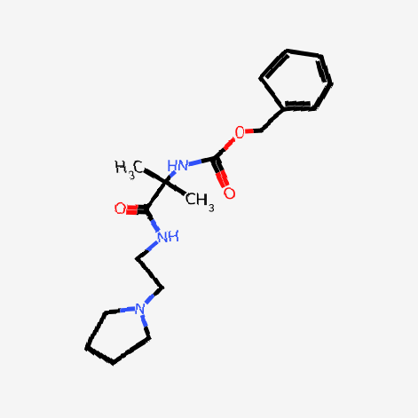 CC(C)(NC(=O)OCc1ccccc1)C(=O)NCCN1CCCC1